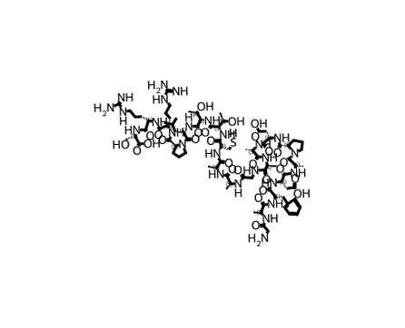 CC(C)C[C@H](NC(=O)[C@@H](NC(=O)[C@@H](NC(=O)[C@H](CS)NC(=O)[C@H](C)NC(=O)[C@H](C)NC(=O)CNC(=O)[C@H](C)NC(=O)[C@H](C)NC(=O)[C@H](CC(=O)O)NC(=O)[C@@H]1CCCN1C(=O)[C@H](C)NC(=O)[C@H](CC(=O)O)NC(=O)[C@H](Cc1ccccc1)NC(=O)[C@H](C)NC(=O)CN)[C@@H](C)O)[C@@H](C)O)C(=O)N1CCC[C@H]1C(=O)N[C@@H](CCCNC(=N)N)C(=O)N[C@@H](CCCNC(=N)N)C(=O)N[C@@H](CO)C(=O)O